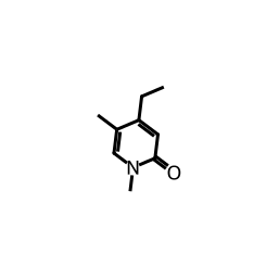 CCc1cc(=O)n(C)cc1C